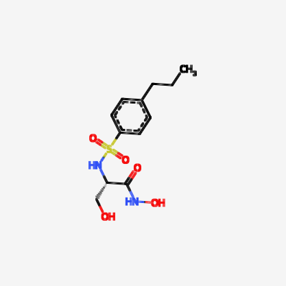 CCCc1ccc(S(=O)(=O)N[C@@H](CO)C(=O)NO)cc1